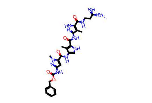 Cc1c(NC(=O)c2cc(NC(=O)OCc3ccccc3)nn2C)c[nH]c1C(=O)Nc1n[nH]c(C(=O)NCCC(=N)N)c1C